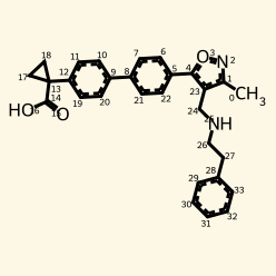 Cc1noc(-c2ccc(-c3ccc(C4(C(=O)O)CC4)cc3)cc2)c1CNCCc1ccccc1